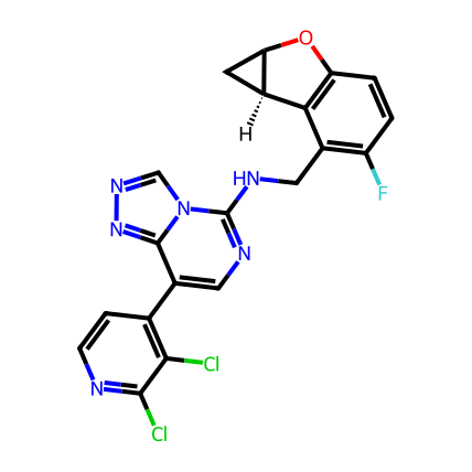 Fc1ccc2c(c1CNc1ncc(-c3ccnc(Cl)c3Cl)c3nncn13)[C@H]1CC1O2